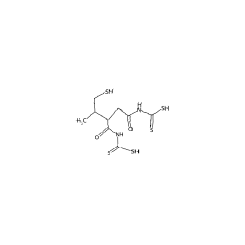 [CH2]C(CS)C(CC(=O)NC(=S)S)C(=O)NC(=S)S